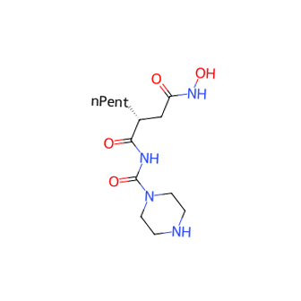 CCCCC[C@H](CC(=O)NO)C(=O)NC(=O)N1CCNCC1